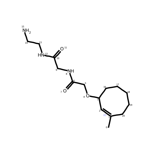 C/C1=C/C(OCC(=O)NCC(=O)NCCN)CCCCC1